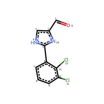 O=Cc1c[nH]c(-c2cccc(Cl)c2Cl)n1